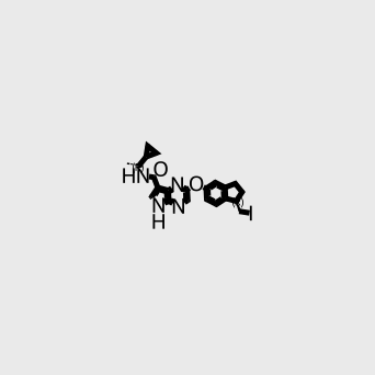 C[C@@H](NC(=O)c1c[nH]c2ncc(Oc3ccc4c(c3)CC[C@H]4CI)nc12)C1CC1